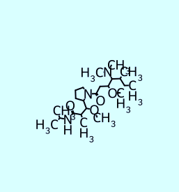 CCC(C)C(C(CC(=O)N1CCCC1C(OC)C(C)C(=O)NC(C)C)OC)N(C)C